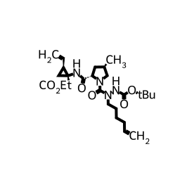 C=CCCCCN(NC(=O)OC(C)(C)C)C(=O)N1C[C@H](C)C[C@H]1C(=O)N[C@]1(C(=O)OCC)C[C@H]1C=C